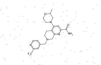 CC1CN(c2cc(C(N)=O)nc3c2CCN(Cc2ccnc(C(F)(F)F)c2)C3)CCO1